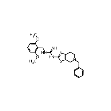 COc1cccc(OC)c1CNC(=N)Nc1nc2c(s1)CN(Cc1ccccc1)CC2